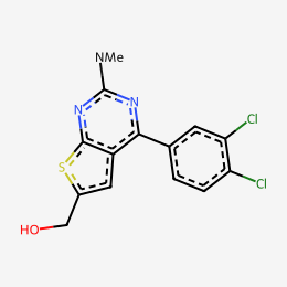 CNc1nc(-c2ccc(Cl)c(Cl)c2)c2cc(CO)sc2n1